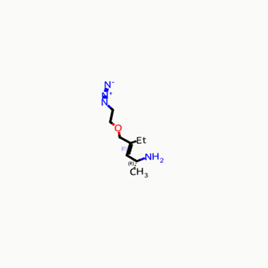 CC/C(=C\[C@@H](C)N)COCCN=[N+]=[N-]